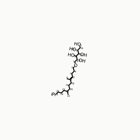 C/C(=C\CCCOC[C@@H](O)[C@@H](O)[C@H](O)[C@H](O)CO)CCCC(C)CCCC(C)C